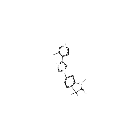 Cc1cnccc1-c1cn(-c2ccc3c(c2)N(C)C(=O)C3(C)C)cn1